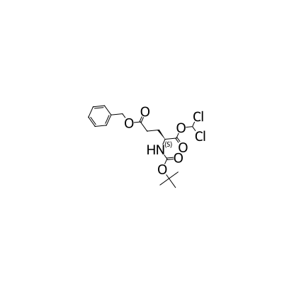 CC(C)(C)OC(=O)N[C@@H](CCC(=O)OCc1ccccc1)C(=O)OC(Cl)Cl